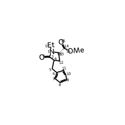 CCN1C(=O)C(Cc2ccccc2)C[C@H]1C(=O)OC